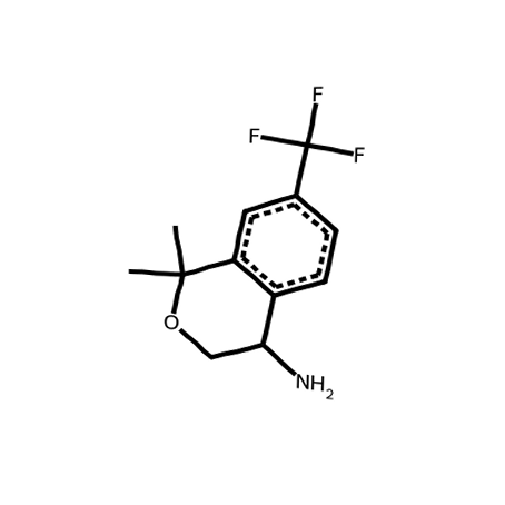 CC1(C)OCC(N)c2ccc(C(F)(F)F)cc21